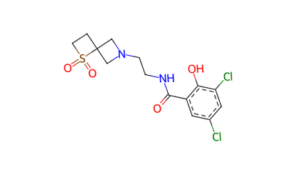 O=C(NCCN1CC2(CCS2(=O)=O)C1)c1cc(Cl)cc(Cl)c1O